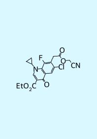 CCOC(=O)c1cn(C2CC2)c2c(F)c(CC(=O)OCC#N)c(Cl)cc2c1=O